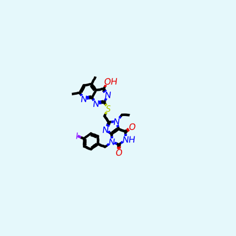 CCn1c(CSc2nc(O)c3c(C)cc(C)nc3n2)nc2c1c(=O)[nH]c(=O)n2Cc1ccc(I)cc1